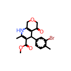 COC(=O)C1=C(C)NC2=C(C(=O)COC2)C1c1ccc(C)c(Br)c1